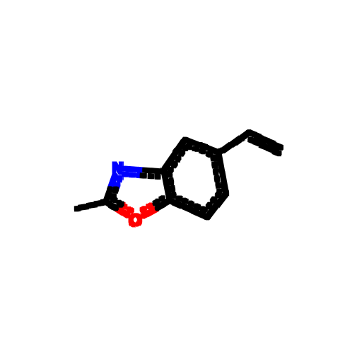 C=Cc1ccc2oc(C)nc2c1